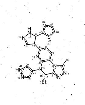 CC[C@H]1c2nnc(C)n2-c2cnc(C3C=NNC3c3nccs3)nc2N1c1cn[nH]c1